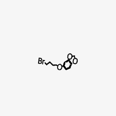 BrCCCCOc1ccc2c(c1)OCO2